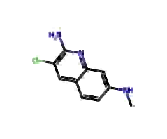 [CH2]Nc1ccc2cc(Cl)c(N)nc2c1